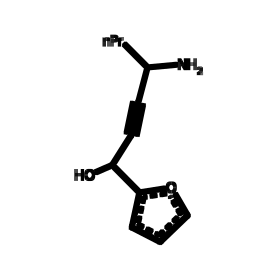 CCCC(N)C#CC(O)c1ccco1